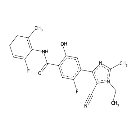 CCn1c(C)nc(-c2cc(O)c(C(=O)NC3=C(C)CCC=C3F)cc2F)c1C#N